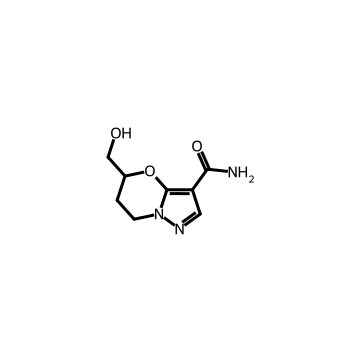 NC(=O)c1cnn2c1OC(CO)CC2